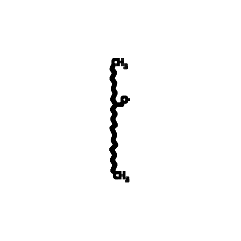 CCCCCCCCCCCCCCC(C[O])CCCCCCCC